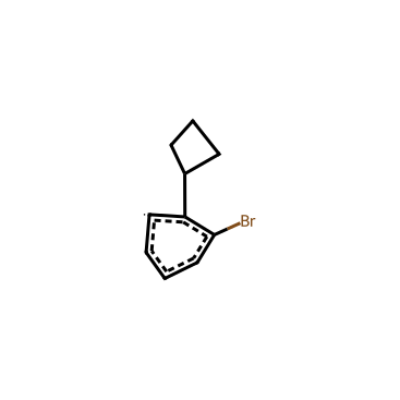 Brc1ccc[c]c1C1CCC1